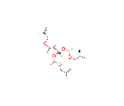 C=C(C)COC(C)O[Si](C)(OC(C)OCC(=C)C)OC(C)OCC(=C)C